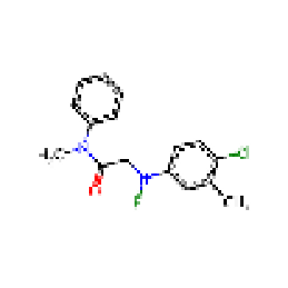 Cc1cc(N(F)CC(=O)N(C)c2ccccc2)ccc1Cl